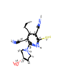 CCc1c(C#N)c(S)nc(N2CC[C@H](O)C2)c1C#N